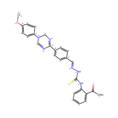 COC(=O)c1ccccc1NC(=S)N/N=C/c1ccc(C2=NCN(c3ccc(OC(F)(F)F)cc3)C=N2)cc1